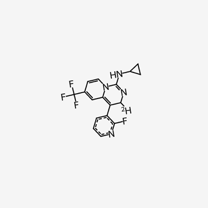 [2H]C1N=C(NC2CC2)N2C=CC(C(F)(F)F)=CC2=C1c1cccnc1F